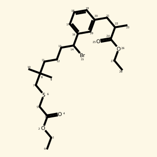 CCOC(=O)CSCC(C)(C)CCCC(Br)c1cccc(CC(C)C(=O)OCC)c1